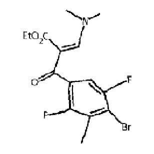 CCOC(=O)C(=CN(C)C)C(=O)c1cc(F)c(Br)c(C)c1F